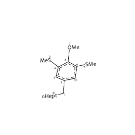 CCCCCCCCc1cc(SC)c(OC)c(SC)c1